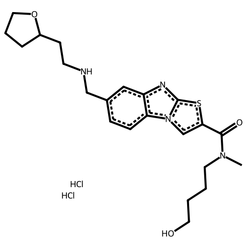 CN(CCCCO)C(=O)c1cn2c(nc3cc(CNCCC4CCCO4)ccc32)s1.Cl.Cl